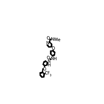 CNC(=O)c1cc(Oc2ccc(NC(=O)Nc3cccc(OCc4ccccc4C(F)(F)F)c3)cc2)ccn1